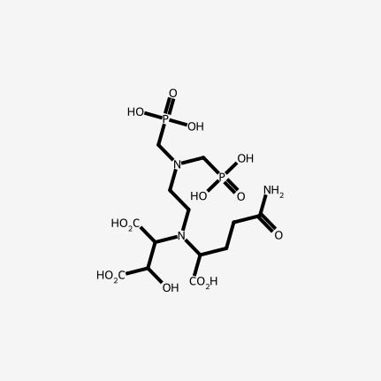 NC(=O)CCC(C(=O)O)N(CCN(CP(=O)(O)O)CP(=O)(O)O)C(C(=O)O)C(O)C(=O)O